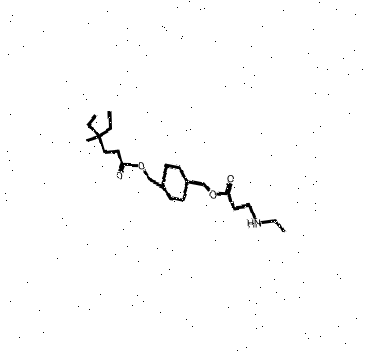 CCNCCC(=O)OCC1CCC(COC(=O)CCC(C)(CC)CC)CC1